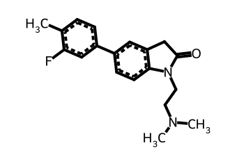 Cc1ccc(-c2ccc3c(c2)CC(=O)N3CCN(C)C)cc1F